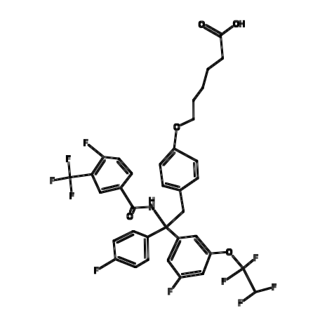 O=C(O)CCCCCOc1ccc(CC(NC(=O)c2ccc(F)c(C(F)(F)F)c2)(c2ccc(F)cc2)c2cc(F)cc(OC(F)(F)C(F)F)c2)cc1